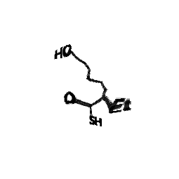 CCC(CCCO)C(=O)S